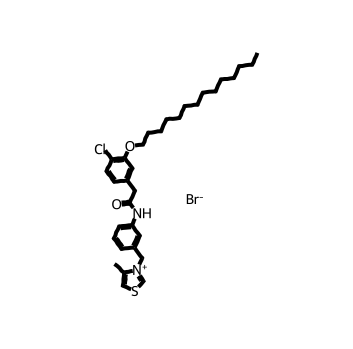 CCCCCCCCCCCCCCOc1cc(CC(=O)Nc2cccc(C[n+]3cscc3C)c2)ccc1Cl.[Br-]